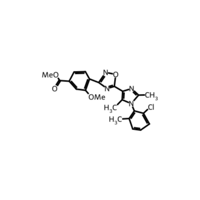 COC(=O)c1ccc(-c2noc(-c3nc(C)n(-c4c(C)cccc4Cl)c3C)n2)c(OC)c1